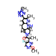 COc1ncc(F)c([C@H](C)C(=O)N2CC[C@@H]3Nc4nc(C)c(-c5nnn(C)n5)cc4CC[C@@H]3C2)n1